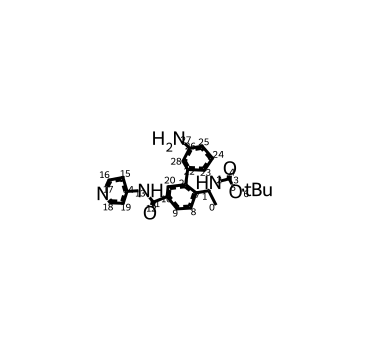 CC(NC(=O)OC(C)(C)C)c1ccc(C(=O)Nc2ccncc2)cc1-c1cccc(N)c1